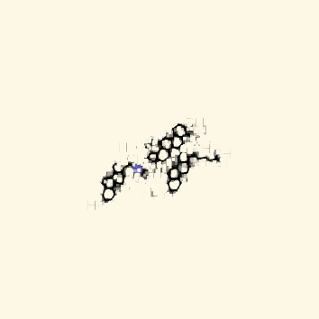 C=C(C)[C@@H]1CC[C@]2(C)CC[C@]3(C)[C@H](CC[C@@H]4[C@@]5(C)CC[C@H](O)C(C)(C)[C@@H]5CC[C@]43C)[C@@H]12.CC(C)CCC[C@@H](C)[C@H]1CC[C@H]2[C@@H]3CC=C4C[C@@H](O)CC[C@]4(C)[C@H]3CC[C@]12C.CC(C)[C@@H](C)/C=C/[C@@H](C)[C@H]1CC[C@H]2C3=CC=C4C[C@@H](O)CC[C@]4(C)[C@H]3CC[C@]12C